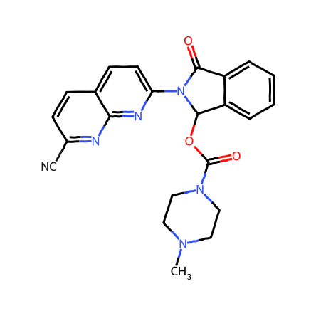 CN1CCN(C(=O)OC2c3ccccc3C(=O)N2c2ccc3ccc(C#N)nc3n2)CC1